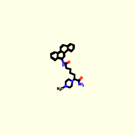 CN1CCN(C(CCCCC(=O)Nc2cc3c4ccccc4ccc3c3ccccc23)C(N)=O)CC1